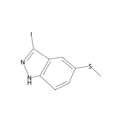 CSc1ccc2[nH]nc(I)c2c1